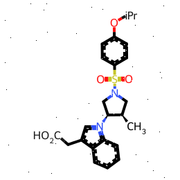 CC(C)Oc1ccc(S(=O)(=O)N2C[C@@H](C)[C@@H](n3cc(CC(=O)O)c4ccccc43)C2)cc1